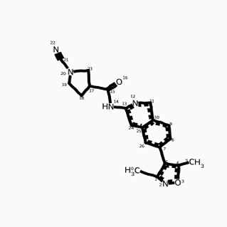 Cc1noc(C)c1-c1ccc2cnc(NC(=O)C3CCN(C#N)C3)cc2c1